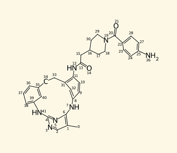 Cc1cnc2nc1Nc1ccc(NC(=O)CC3CCN(C(=O)c4ccc(N)cc4)CC3)c(c1)CCc1cccc(c1)N2